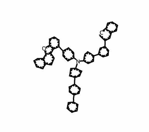 c1ccc(-c2ccc(-c3ccc(N(c4ccc(-c5cccc(-c6ccc7ccccc7c6)c5)cc4)c4ccc(-c5cccc6oc7c8ccccc8ccc7c56)cc4)cc3)cc2)cc1